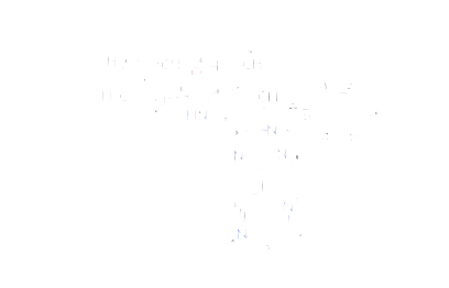 CC(C)(C)OC(=O)N[C@@H](c1nc(-c2cnccn2)nn1Cc1ccccc1)C(C)(C)C